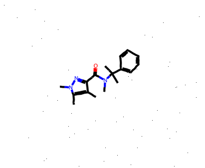 Cc1c(C(=O)N(C)C(C)(C)c2ccccc2)nn(C)c1C